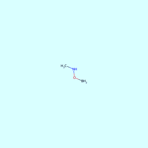 BONC